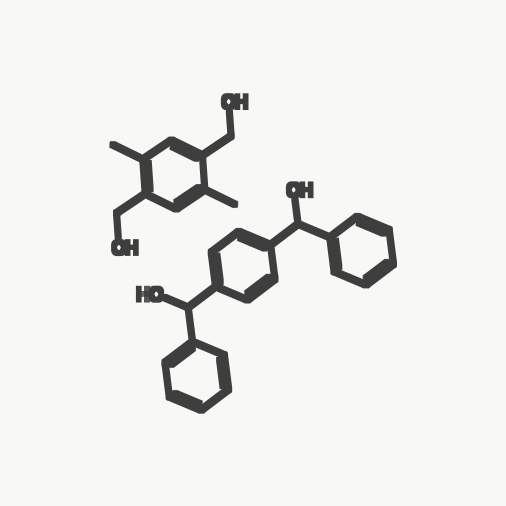 Cc1cc(CO)c(C)cc1CO.OC(c1ccccc1)c1ccc(C(O)c2ccccc2)cc1